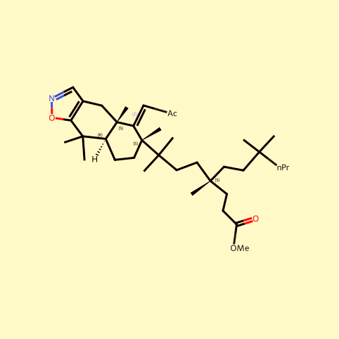 CCCC(C)(C)CC[C@](C)(CCC(=O)OC)CCC(C)(C)[C@]1(C)CC[C@H]2C(C)(C)c3oncc3C[C@]2(C)/C1=C/C(C)=O